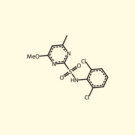 COc1cc(C)nc(S(=O)(=O)Nc2c(Cl)cccc2Cl)n1